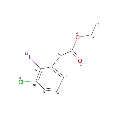 CCOC(=O)Cc1cccc(Cl)c1I